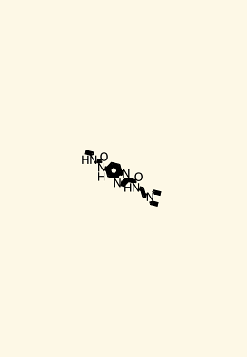 CCNC(=O)Nc1ccc2nc(C(=O)NCCN(CC)CC)cnc2c1